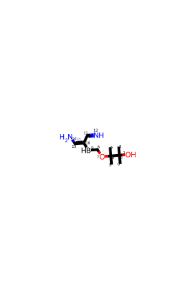 CC(C)(O)C(C)(C)OCB/C(C=N)=C/N